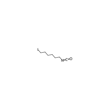 O=C=NCCCCCCI